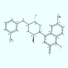 C[C@@H]1CN(c2nc(=O)n(C)c3ccc(C#N)nc23)[C@@H](C)CC1Oc1cccc(C(F)(F)F)c1